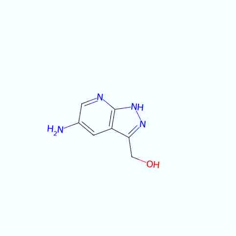 Nc1cnc2[nH]nc(CO)c2c1